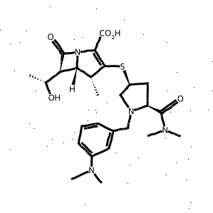 C[C@@H](O)[C@H]1C(=O)N2C(C(=O)O)=C(S[C@H]3C[C@@H](C(=O)N(C)C)N(Cc4cccc(N(C)C)c4)C3)[C@H](C)[C@H]12